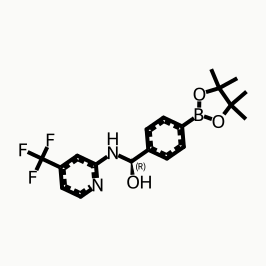 CC1(C)OB(c2ccc([C@@H](O)Nc3cc(C(F)(F)F)ccn3)cc2)OC1(C)C